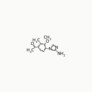 COc1c(-n2cnc(N)c2)ccc(C(C)=O)c1C